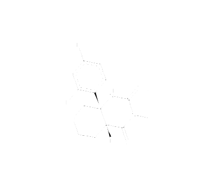 C=C1N[C@@]2(c3ccc(F)cc3F)CO[C@@H](C)C[C@H]2C(=O)N1C